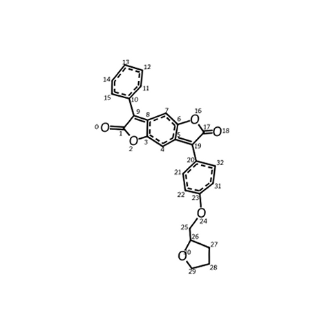 O=C1Oc2cc3c(cc2=C1c1ccccc1)OC(=O)C=3c1ccc(OCC2CCCO2)cc1